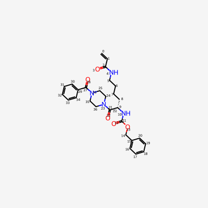 C=CC(=O)NCCCC[C@H](NC(=O)OCc1ccccc1)C(=O)N1CCN(C(=O)c2ccccc2)CC1